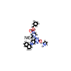 CN1CCC[C@H]1COc1nc2c(c(N3CCN(C(=O)OCc4ccccc4)CC3CC#N)n1)CCN(c1cccc3ccccc13)C2